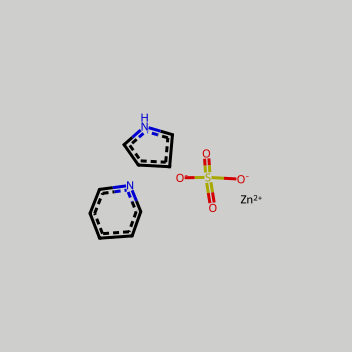 O=S(=O)([O-])[O-].[Zn+2].c1cc[nH]c1.c1ccncc1